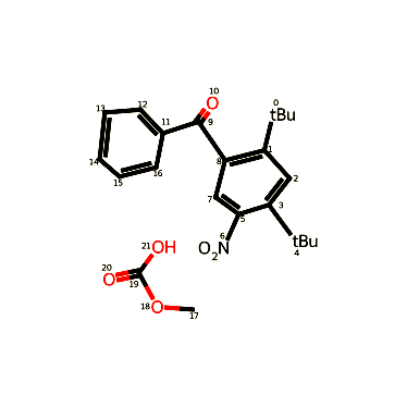 CC(C)(C)c1cc(C(C)(C)C)c([N+](=O)[O-])cc1C(=O)c1ccccc1.COC(=O)O